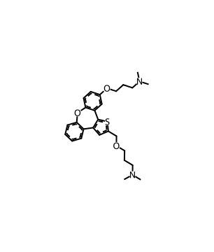 CN(C)CCCOCc1cc2c(s1)-c1cc(OCCCN(C)C)ccc1Oc1ccccc1-2